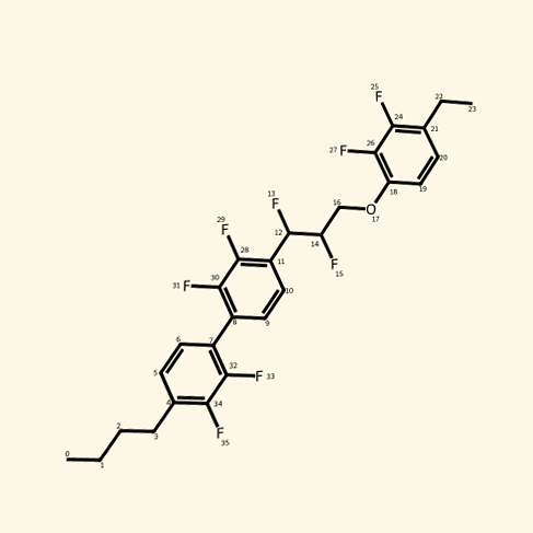 CCCCc1ccc(-c2ccc(C(F)C(F)COc3ccc(CC)c(F)c3F)c(F)c2F)c(F)c1F